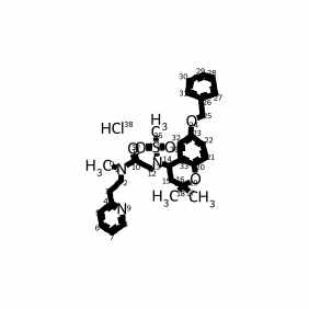 CN(CCc1ccccn1)C(=O)CN(C1CC(C)(C)Oc2ccc(OCc3ccccc3)cc21)S(C)(=O)=O.Cl